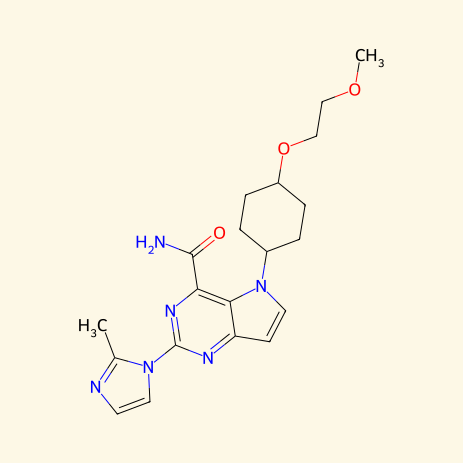 COCCOC1CCC(n2ccc3nc(-n4ccnc4C)nc(C(N)=O)c32)CC1